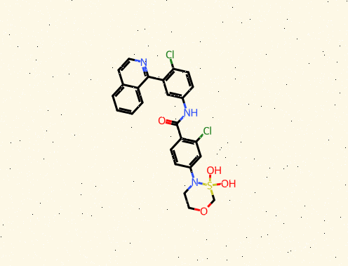 O=C(Nc1ccc(Cl)c(-c2nccc3ccccc23)c1)c1ccc(N2CCOCS2(O)O)cc1Cl